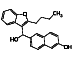 CCCCc1oc2ccccc2c1C(O)c1ccc2cc(O)ccc2c1